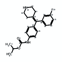 CC(C)OC(=O)Nc1ccc(C(=C2CCNCC2)c2cccc(F)c2)cc1